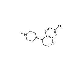 CN1CCN(C2CCSc3cc(Cl)ccc32)CC1